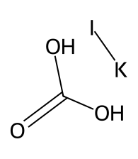 O=C(O)O.[K][I]